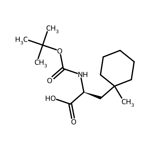 CC1(C[C@H](NC(=O)OC(C)(C)C)C(=O)O)CCCCC1